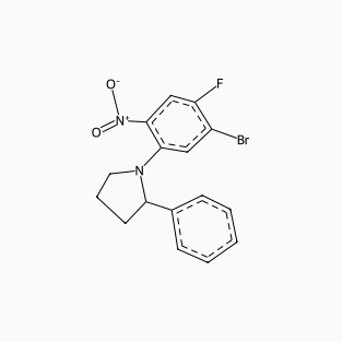 O=[N+]([O-])c1cc(F)c(Br)cc1N1CCCC1c1ccccc1